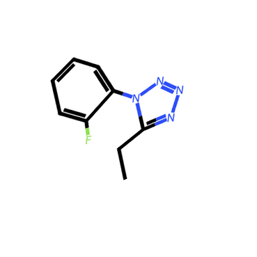 CCc1nnnn1-c1ccccc1F